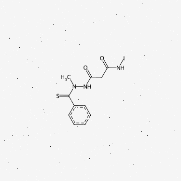 CN(NC(=O)CC(=O)NI)C(=S)c1ccccc1